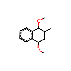 COC1CC(C)C(OC)c2ccccc21